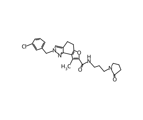 Cc1c(C(=O)NCCCN2CCCC2=O)oc2c1-c1nn(Cc3cccc(Cl)c3)cc1CC2